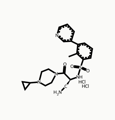 Cc1c(-c2cccnc2)cccc1S(=O)(=O)N[C@@H](CN)C(=O)N1CCN(C2CC2)CC1.Cl.Cl